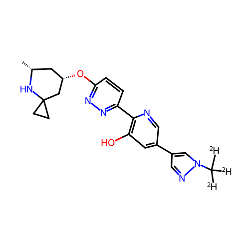 [2H]C([2H])([2H])n1cc(-c2cnc(-c3ccc(O[C@H]4C[C@@H](C)NC5(CC5)C4)nn3)c(O)c2)cn1